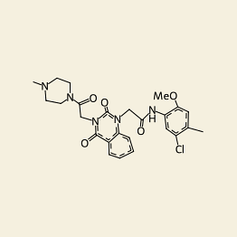 COc1cc(C)c(Cl)cc1NC(=O)Cn1c(=O)n(CC(=O)N2CCN(C)CC2)c(=O)c2ccccc21